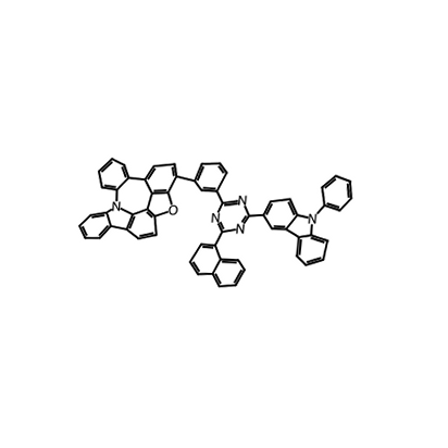 c1ccc(-n2c3ccccc3c3cc(-c4nc(-c5cccc(-c6ccc7c8ccccc8n8c9ccccc9c9ccc%10oc6c7c%10c98)c5)nc(-c5cccc6ccccc56)n4)ccc32)cc1